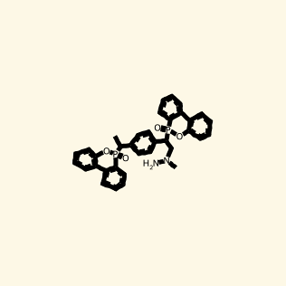 CC(c1ccc(C(CN(C)N)P2(=O)Oc3ccccc3-c3ccccc32)cc1)P1(=O)Oc2ccccc2-c2ccccc21